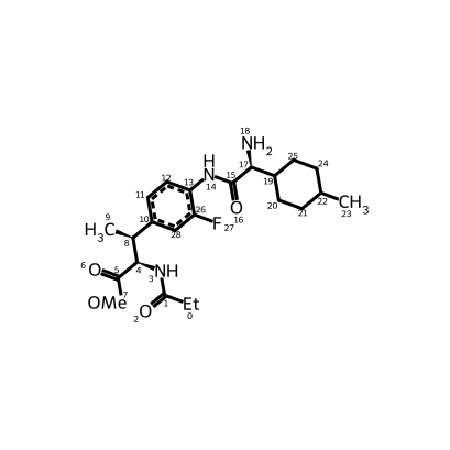 CCC(=O)N[C@@H](C(=O)OC)[C@@H](C)c1ccc(NC(=O)[C@@H](N)C2CCC(C)CC2)c(F)c1